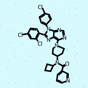 O=C(c1cccnc1)N(C1CCC1)C1CCN(c2ncnc3c2nc(-c2ccc(Cl)cc2Cl)n3-c2ccc(Cl)cc2)CC1